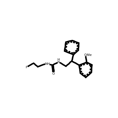 COc1ccccc1C(CNC(=O)NCCF)c1ccccc1